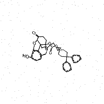 O=C1CCC2(OS(=O)OC3CCC(c4ccccc4)(c4ccccc4)CC3)C3Cc4ccc(O)c5c4C2(CCN3CC2CC2)C1O5